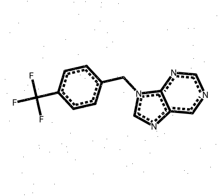 FC(F)(F)c1ccc(Cn2cnc3cncnc32)cc1